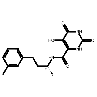 Cc1cccc(CC[C@@H](C)NC(=O)c2[nH]c(=O)[nH]c(=O)c2O)c1